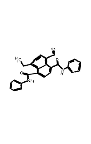 CCc1ccc(C=O)c2c(C(=O)Nc3ccccc3)ccc(C(=O)Nc3ccccc3)c12